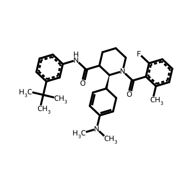 Cc1cccc(F)c1C(=O)N1CCCC(C(=O)Nc2cccc(C(C)(C)C)c2)[C@@H]1C1C=CC(N(C)C)=CC1